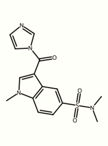 CN(C)S(=O)(=O)c1ccc2c(c1)c(C(=O)n1ccnc1)cn2C